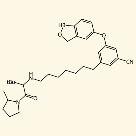 CC1CCCN1C(=O)C(NCCCCCCCc1cc(C#N)cc(Oc2ccc3c(c2)COB3)c1)C(C)(C)C